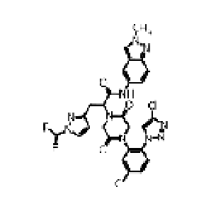 Cn1cc2cc(NC(=O)C(Cc3ccn(C(F)F)n3)N3CC(=O)N(c4cc(Cl)ccc4-n4cc(Cl)nn4)CC3=O)ccc2n1